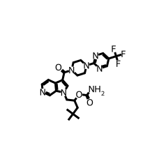 CC(C)(C)CC(Cn1cc(C(=O)N2CCN(c3ncc(C(F)(F)F)cn3)CC2)c2ccncc21)OC(N)=O